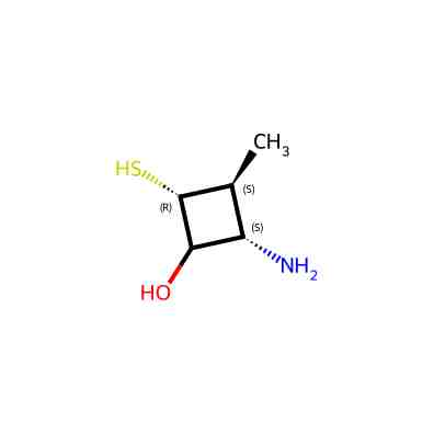 C[C@H]1[C@H](N)C(O)[C@@H]1S